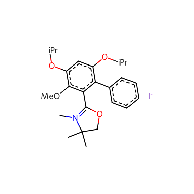 COc1c(OC(C)C)cc(OC(C)C)c(-c2ccccc2)c1C1=[N+](C)C(C)(C)CO1.[I-]